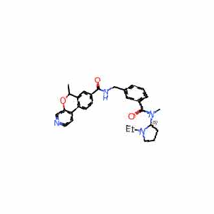 CCN1CCC[C@@H]1N(C)C(=O)c1cccc(CNC(=O)c2ccc3c(c2)C(C)Oc2cnccc2-3)c1